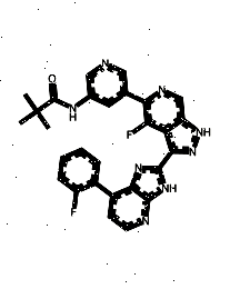 CC(C)(C)C(=O)Nc1cncc(-c2ncc3[nH]nc(-c4nc5c(-c6ccccc6F)ccnc5[nH]4)c3c2F)c1